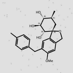 COc1cc2c(cc1Cc1ccc(C)cc1)[C@@]1(C[C@H](C)[C@@H](O)[C@H](O)[C@H]1O)OC2